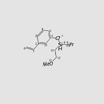 C=Cc1cccc(O[SiH](CCC)CCOC)c1